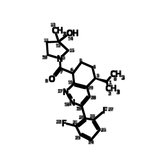 CC(C)[C@@H]1CCC(C(=O)N2CCC(C)(O)C2)c2nnc(-c3c(F)cccc3F)cc21